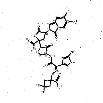 Nc1nc(/C(=N/OC2(C(=O)O)CC(F)(F)C2)C(=O)N[C@H]2CON(C3(C(=O)O)CC(n4cc5cc(O)c(O)cn5c4=O)C(=O)O3)C2=O)cs1